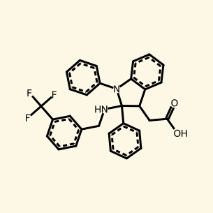 O=C(O)CC1c2ccccc2N(c2ccccc2)C1(NCc1cccc(C(F)(F)F)c1)c1ccccc1